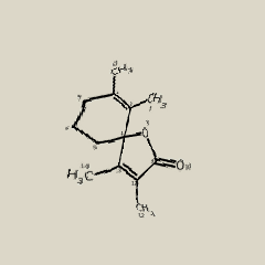 CC1=C(C)C2(CCC1)OC(=O)C(C)=C2C